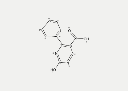 O=C(O)c1cnc(O)nc1-c1ccccc1